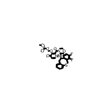 COC(=O)OCOc1c2n(ccc1=O)N(C1Cc3ccccc3SCc3c1ccc(F)c3F)[C@@H]1COCCN1C2=O